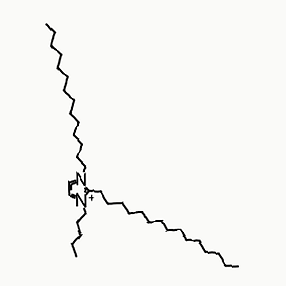 CCCCCCCCCCCCCCCc1n(CCCCCCCCCCCCCC)cc[n+]1CCCCC